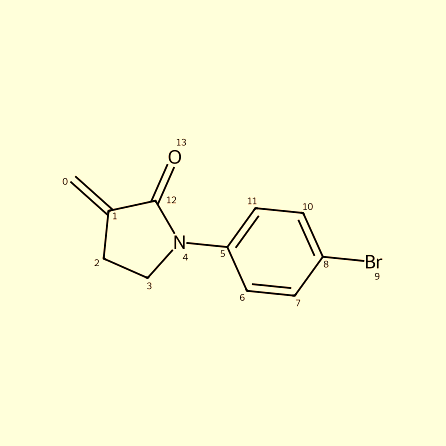 C=C1CCN(c2ccc(Br)cc2)C1=O